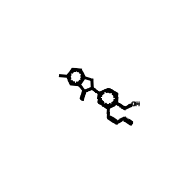 C=C/C=C\c1cc(C2Cc3ccc(C)cc3C2=C)ccc1CO